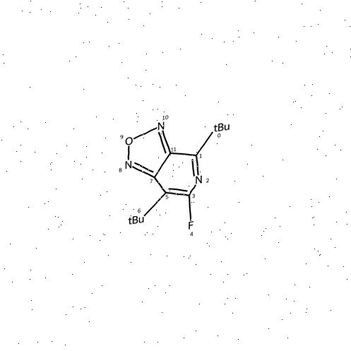 CC(C)(C)c1nc(F)c(C(C)(C)C)c2nonc12